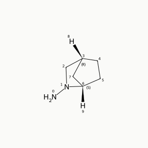 NN1C[C@@H]2CC[C@H]1C2